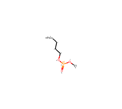 CCCCCCCCO[PH](=O)OCC